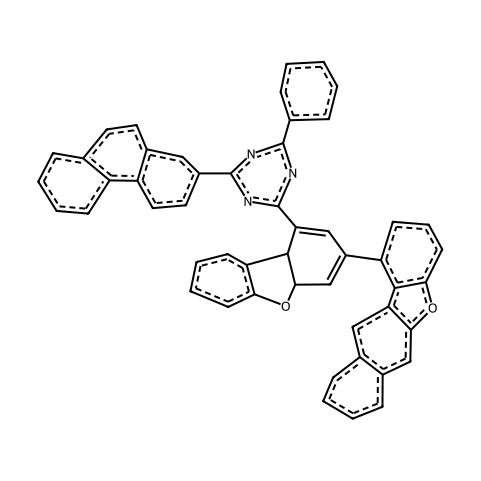 C1=C(c2cccc3oc4cc5ccccc5cc4c23)C=C(c2nc(-c3ccccc3)nc(-c3ccc4c(ccc5ccccc54)c3)n2)C2c3ccccc3OC12